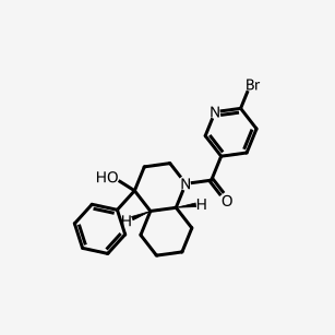 O=C(c1ccc(Br)nc1)N1CCC(O)(c2ccccc2)[C@H]2CCCC[C@H]21